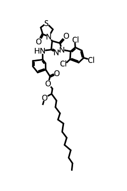 CCCCCCCCCCCCC(COC(=O)c1cccc(NC2=NN(c3c(Cl)cc(Cl)cc3Cl)C(=O)C2N2CSCC2=O)c1)OC